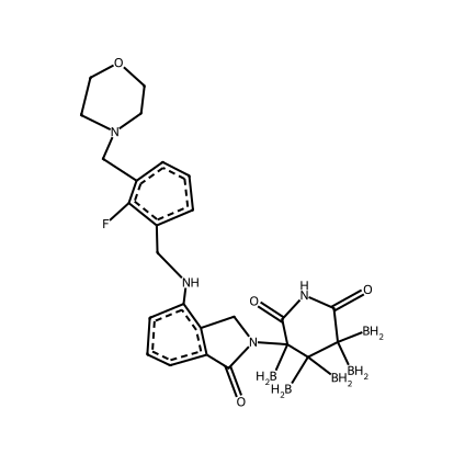 BC1(B)C(=O)NC(=O)C(B)(N2Cc3c(NCc4cccc(CN5CCOCC5)c4F)cccc3C2=O)C1(B)B